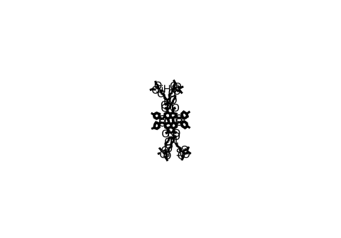 CCOCC(C(=O)N(CCCC[Si](OCC)(OCC)OCC)CCOC[Si](OCC)(OCC)OCC)N1C(=O)c2cc(Oc3ccc(C)cc3)c3c4c(Oc5ccc(C)cc5)cc5c6c(cc(Oc7ccc(C)cc7)c(c7c(Oc8ccc(C)cc8)cc(c2c37)C1=O)c64)C(=O)N(C(COCC)C(=O)N(CCOC[SiH](OCC)OCC)CCOC[Si](OCC)(OCC)OCC)C5=O